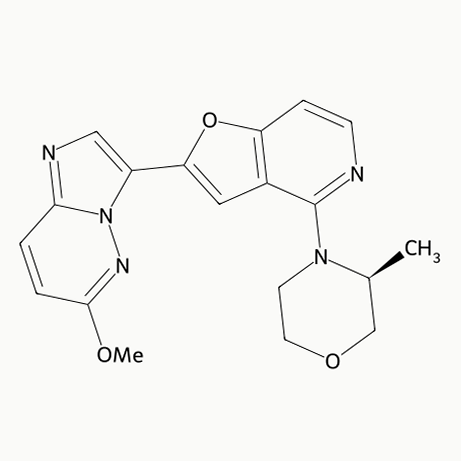 COc1ccc2ncc(-c3cc4c(N5CCOC[C@@H]5C)nccc4o3)n2n1